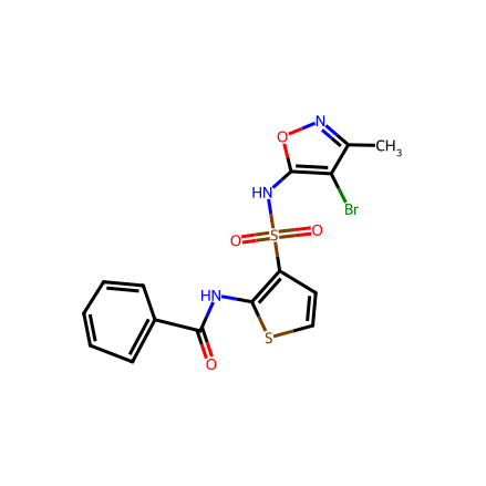 Cc1noc(NS(=O)(=O)c2ccsc2NC(=O)c2ccccc2)c1Br